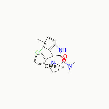 COc1ccccc1C1(N2CCC[C@H]2C(=O)N(C)C)C(=O)Nc2ccc(C)c(Cl)c21